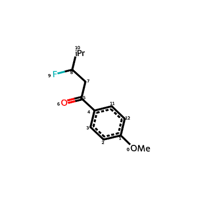 COc1ccc(C(=O)CC(F)C(C)C)cc1